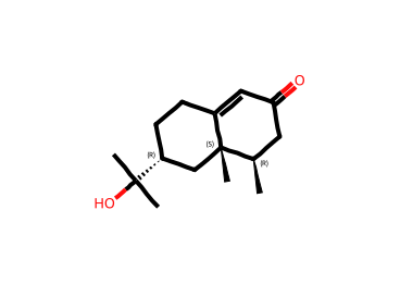 C[C@@H]1CC(=O)C=C2CC[C@@H](C(C)(C)O)C[C@]21C